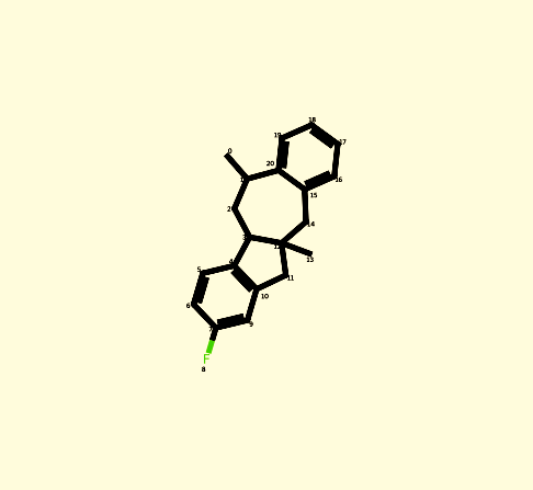 CC1CC2c3ccc(F)cc3CC2(C)Cc2ccccc21